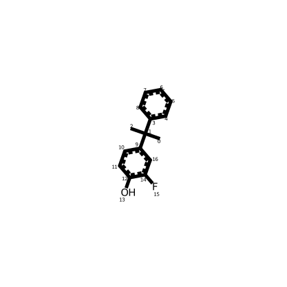 CC(C)(c1cc[c]cc1)c1ccc(O)c(F)c1